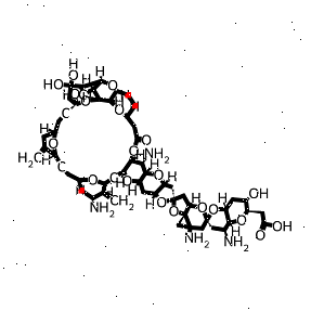 C=C1C[C@@H]2CC[C@]34CC(O)(O)C(O3)[C@@H]3O[C@H]5CC[C@H](CC(=O)O[C@@H]6[C@@H](N)[C@@H]7O[C@@H]8C[C@@]9(C[C@@H]%10O[C@]%11(C[C@H](N)[C@@H]%12O[C@H](CC(=O)O)[C@H](O)C[C@@H]%12O%11)CC%11(N)C[C@@]%10%11O9)O[C@@H]8C[C@@H]7O[C@H]6C[C@H]6O[C@@H](CC[C@@H]1O2)C[C@@H](N)C6=C)O[C@@H]5[C@H](O4)[C@@H]3C